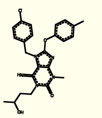 Cc1ccc(Oc2nc3c(c(=N)n(CCC(C)O)c(=O)n3C)n2Cc2ccc(Cl)cc2)cc1